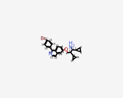 NC(C1CC1)C(COc1ccc2c(-c3ccc(Br)cc3)nccc2c1)C1CC1